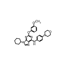 COc1cccc(Oc2nc(Nc3ccc(N4CCOCC4)cc3)c3ncn(C4CCCCC4)c3n2)c1